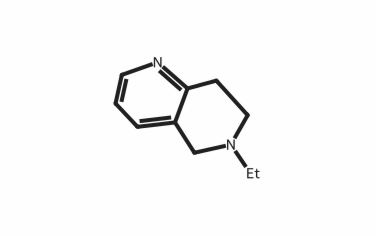 [CH2]CN1CCc2ncccc2C1